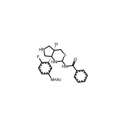 CC(=O)Nc1ccc(F)c([C@]23CNC[C@H]2CSC(NC(=O)c2ccccc2)N3)c1